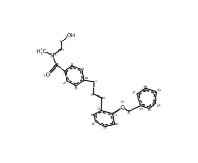 CN(CCO)C(=O)c1ccc(CCCc2ccccc2OCc2ccccc2)cc1